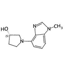 Cn1cnc2c(N3CC[C@H](O)C3)cccc21